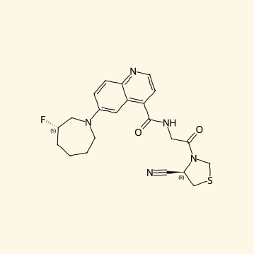 N#C[C@@H]1CSCN1C(=O)CNC(=O)c1ccnc2ccc(N3CCCC[C@H](F)C3)cc12